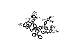 CC(C)c1cc(C(C)C)c(-c2ccc3c(c2)c2cc(-c4c(C(C)C)cc(C(C)C)cc4C(C)C)ccc2n3-c2ccc3c(c2)N(c2ccccc2)c2cc(N(c4ccccc4)c4ccccc4)cc4c2B3c2ccc(-n3c5ccc(-c6c(C(C)C)cc(C(C)C)cc6C(C)C)cc5c5cc(-c6c(C(C)C)cc(C(C)C)cc6C(C)C)ccc53)cc2N4c2ccccc2)c(C(C)C)c1